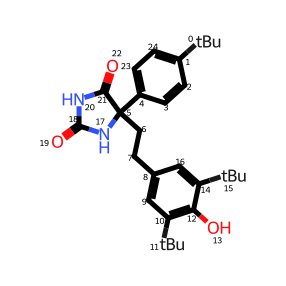 CC(C)(C)c1ccc(C2(CCc3cc(C(C)(C)C)c(O)c(C(C)(C)C)c3)NC(=O)NC2=O)cc1